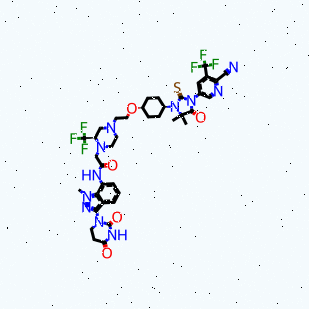 Cn1nc(N2CCC(=O)NC2=O)c2cccc(NC(=O)CN3CCN(CCO[C@H]4CC[C@H](N5C(=S)N(c6cnc(C#N)c(C(F)(F)F)c6)C(=O)C5(C)C)CC4)C[C@@H]3C(F)(F)F)c21